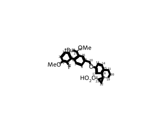 COc1cccc(-c2ccc(COc3ccc4c(c3)[C@@]3(CCC4)C[C@@H]3C(=O)O)cc2[C@@H](OC)C(C)(C)C)c1F